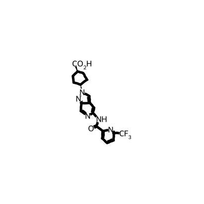 O=C(Nc1cc2cn([C@H]3CC[C@H](C(=O)O)CC3)nc2cn1)c1cccc(C(F)(F)F)n1